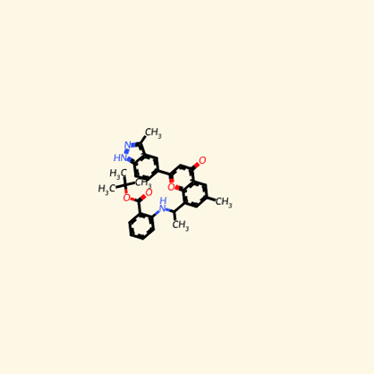 Cc1cc(C(C)Nc2ccccc2C(=O)OC(C)(C)C)c2oc(-c3ccc4[nH]nc(C)c4c3)cc(=O)c2c1